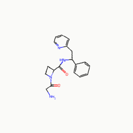 NCC(=O)N1CCC1C(=O)NC(Cc1ccccn1)c1ccccc1